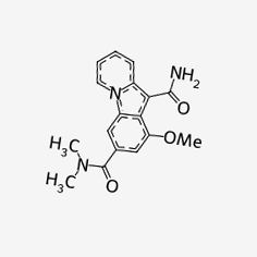 COc1cc(C(=O)N(C)C)cc2c1c(C(N)=O)c1ccccn12